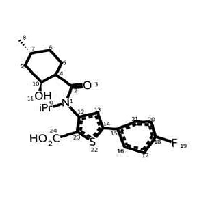 CC(C)N(C(=O)C1CC[C@@H](C)C[C@@H]1O)c1cc(-c2ccc(F)cc2)sc1C(=O)O